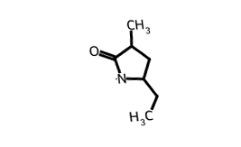 CCC1CC(C)C(=O)[N]1